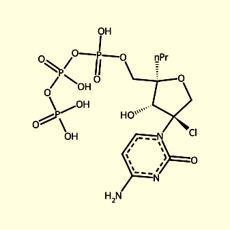 CCC[C@]1(COP(=O)(O)OP(=O)(O)OP(=O)(O)O)OC[C@](Cl)(n2ccc(N)nc2=O)[C@@H]1O